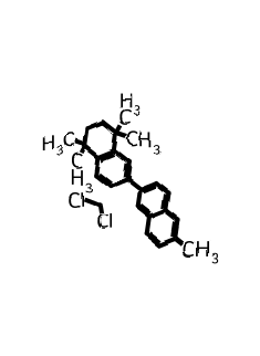 Cc1ccc2cc(-c3ccc4c(c3)C(C)(C)CCC4(C)C)ccc2c1.ClCCl